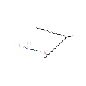 CC#CC(CCCCCCCCCCCCCCC)CCCCCCCCCCCC(CC)C(=O)N=CNCCCCNCCCN